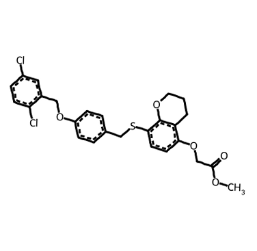 COC(=O)COc1ccc(SCc2ccc(OCc3cc(Cl)ccc3Cl)cc2)c2c1CCCO2